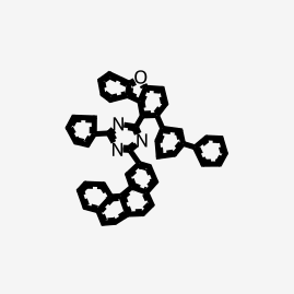 c1ccc(-c2cccc(-c3ccc4oc5ccccc5c4c3-c3nc(-c4ccccc4)nc(-c4ccc5ccc6ccc7ccccc7c6c5c4)n3)c2)cc1